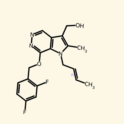 C/C=C/Cn1c(C)c(CO)c2cnnc(OCc3ccc(F)cc3F)c21